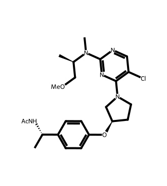 COC[C@@H](C)N(C)c1ncc(Cl)c(N2CC[C@@H](Oc3ccc([C@H](C)NC(C)=O)cc3)C2)n1